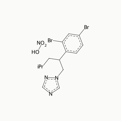 CC(C)CC(Cn1cncn1)c1ccc(Br)cc1Br.O=[N+]([O-])O